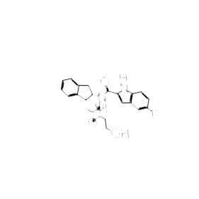 O=C(N[C@@H]1Cc2ccccc2[C@H]1CS(=O)(=O)CCO)c1cc2cc(F)ccc2[nH]1